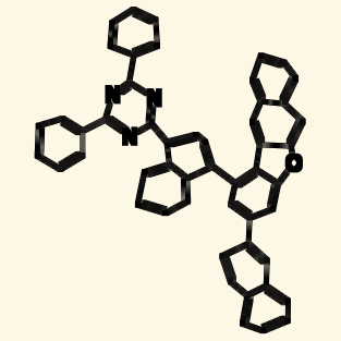 c1ccc(-c2nc(-c3ccccc3)nc(-c3ccc(-c4cc(-c5ccc6ccccc6c5)cc5oc6cc7ccccc7cc6c45)c4ccccc34)n2)cc1